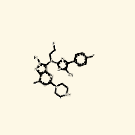 CCn1nc2c(C)cc(N3CCNCC3)nc2c1N(CCF)c1nc(-c2ccc(F)cc2)c(C#N)s1